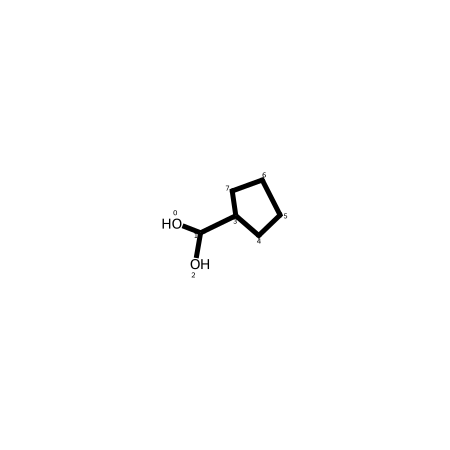 O[C](O)C1CCCC1